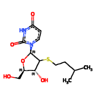 CC(C)CCSC1[C@H](n2ccc(=O)[nH]c2=O)O[C@H](CO)[C@H]1O